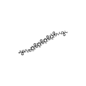 C=CC(=O)OCCCCOC(=O)c1ccc(OC(=O)c2ccc(OC(=O)c3ccc(OC(=O)c4ccc(OCCCCOC(=O)C=C)cc4)cc3)cc2)cc1